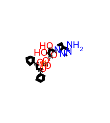 Nc1ncnc2c1ccn2[C@@H]1O[C@H](CO[P@@]2(=O)O[C@H](c3ccccc3)C[C@H](c3ccccc3)O2)[C@@H](O)[C@H]1O